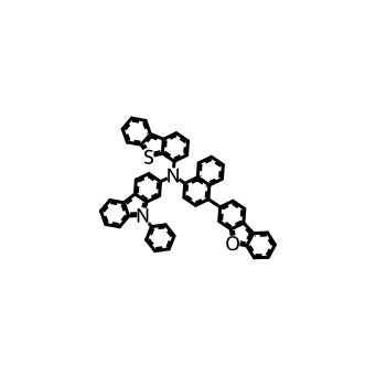 c1ccc(-n2c3ccccc3c3ccc(N(c4ccc(-c5ccc6c(c5)oc5ccccc56)c5ccccc45)c4cccc5c4sc4ccccc45)cc32)cc1